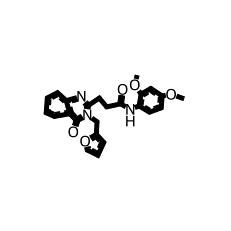 COc1ccc(NC(=O)CCc2nc3ccccc3c(=O)n2Cc2ccco2)c(OC)c1